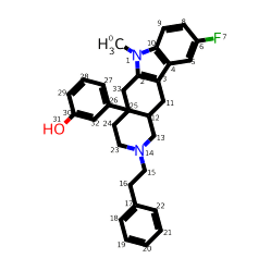 Cn1c2c(c3cc(F)ccc31)CC1CN(CCc3ccccc3)CCC1(c1cccc(O)c1)C2